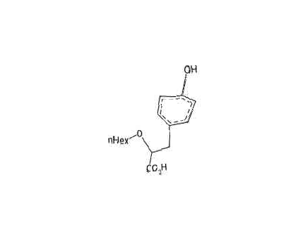 CCCCCCOC(Cc1ccc(O)cc1)C(=O)O